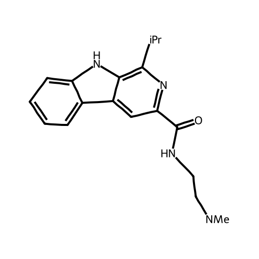 CNCCNC(=O)c1cc2c([nH]c3ccccc32)c(C(C)C)n1